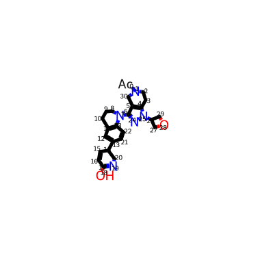 CC(=O)N1CCc2c(c(N3CCCc4cc(C5C=CC(O)=NC5)ccc43)nn2C2COC2)C1